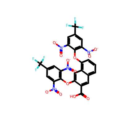 O=C(O)c1cc2cccc(Oc3c([N+](=O)[O-])cc(C(F)(F)F)cc3[N+](=O)[O-])c2cc1Oc1c([N+](=O)[O-])cc(C(F)(F)F)cc1[N+](=O)[O-]